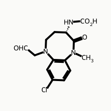 CN1C(=O)[C@@H](NC(=O)O)CCN(CC=O)c2cc(Cl)ccc21